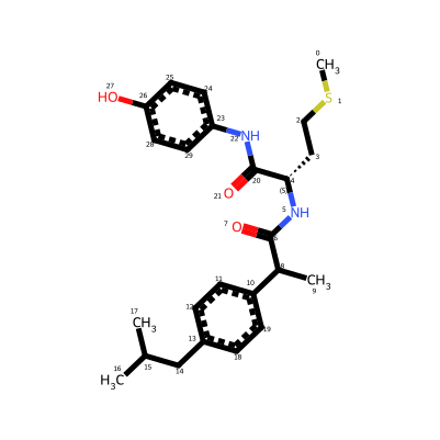 CSCC[C@H](NC(=O)C(C)c1ccc(CC(C)C)cc1)C(=O)Nc1ccc(O)cc1